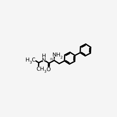 CC(C)NC(=O)[C@@H](N)Cc1ccc(-c2ccccc2)cc1